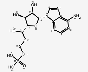 Nc1ncnc2c1ncn2[C@@H]1O[C@H](C(O)SSOP(=O)(O)O)[C@@H](O)[C@H]1O